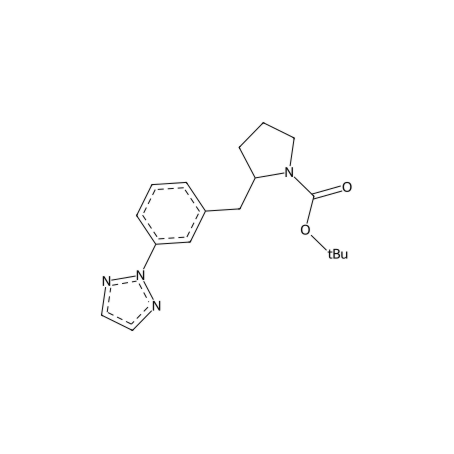 CC(C)(C)OC(=O)N1CCCC1Cc1cccc(-n2nccn2)c1